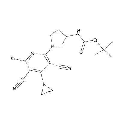 CC(C)(C)OC(=O)NC1CCN(c2nc(Cl)c(C#N)c(C3CC3)c2C#N)C1